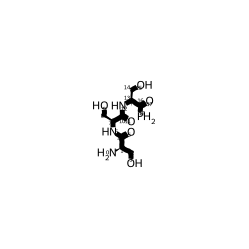 N[C@@H](CO)C(=O)N[C@@H](CO)C(=O)N[C@@H](CO)C(=O)P